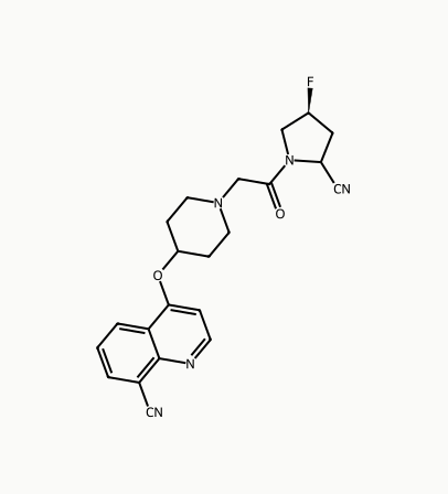 N#Cc1cccc2c(OC3CCN(CC(=O)N4C[C@@H](F)CC4C#N)CC3)ccnc12